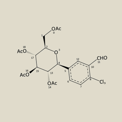 CC(=O)OC[C@H]1O[C@@H](c2ccc(Cl)c(C=O)c2)[C@H](OC(C)=O)[C@@H](OC(C)=O)[C@@H]1OC(C)=O